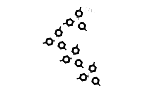 Cc1ccc(P(c2ccc(C)cc2)c2ccc(C)cc2)cc1.Cc1ccc(P(c2ccc(C)cc2)c2ccc(C)cc2)cc1.Cc1ccc(P(c2ccc(C)cc2)c2ccc(C)cc2)cc1.Cc1ccc(P(c2ccc(C)cc2)c2ccc(C)cc2)cc1.[Ru]